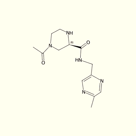 CC(=O)N1CCN[C@@H](C(=O)NCc2cnc(C)cn2)C1